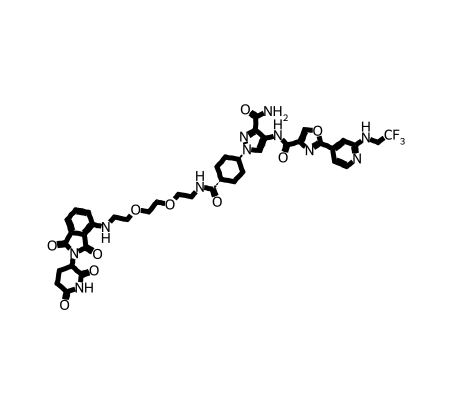 NC(=O)c1nn([C@H]2CC[C@@H](C(=O)NCCOCCOCCNc3cccc4c3C(=O)N(C3CCC(=O)NC3=O)C4=O)CC2)cc1NC(=O)c1coc(-c2ccnc(NCC(F)(F)F)c2)n1